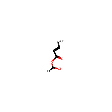 CCC(O)OC(=O)C=CC(=O)O